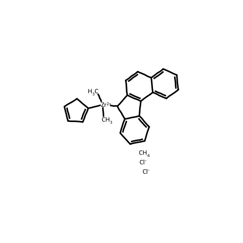 C.[CH3][Zr+2]([CH3])([C]1=CC=CC1)[CH]1c2ccccc2-c2c1ccc1ccccc21.[Cl-].[Cl-]